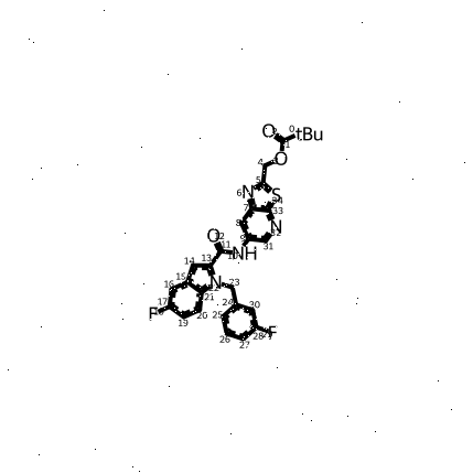 CC(C)(C)C(=O)OCc1nc2cc(NC(=O)c3cc4cc(F)ccc4n3Cc3cccc(F)c3)cnc2s1